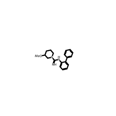 COC1CCCN(C(=N)Nc2ccccc2-c2ccccc2)C1